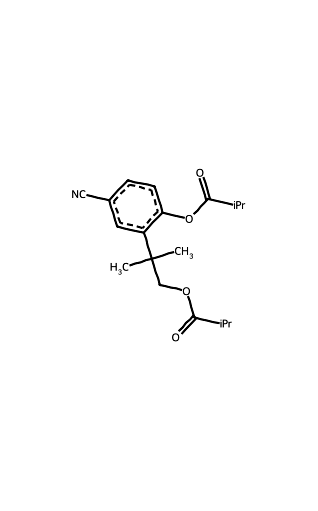 CC(C)C(=O)OCC(C)(C)c1cc(C#N)ccc1OC(=O)C(C)C